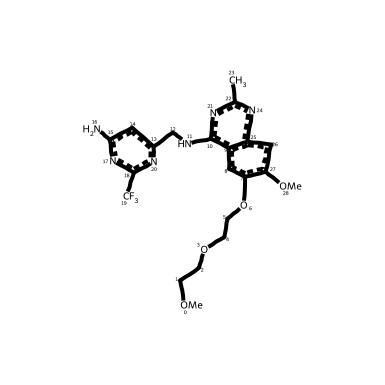 COCCOCCOc1cc2c(NCc3cc(N)nc(C(F)(F)F)n3)nc(C)nc2cc1OC